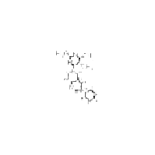 Cc1nc(C)c(C)c(N2CCc3ncc(-c4cccnc4)cc3C2)n1